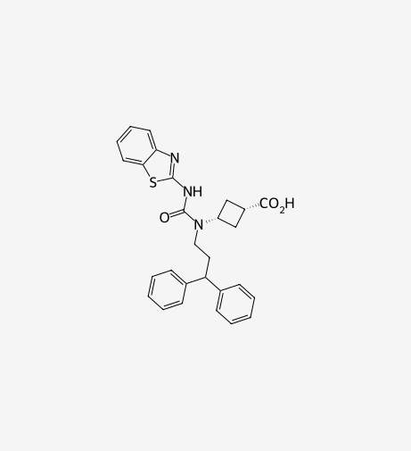 O=C(Nc1nc2ccccc2s1)N(CCC(c1ccccc1)c1ccccc1)[C@H]1C[C@@H](C(=O)O)C1